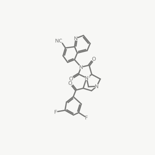 N#Cc1ccc(N2C(=O)C3CN4CC(C(=O)c5cc(F)cc(F)c5)[N+]3(C4)C2=O)c2cccnc12